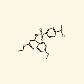 CCOC(=O)CC(NS(=O)(=O)c1ccc([N+](=O)[O-])cc1)c1ccc(OC)nc1